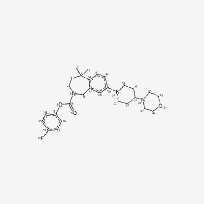 CC1(C)CCN(C(=O)Oc2ccc(F)cc2)Cc2cc(N3CCC(N4CCOCC4)CC3)ccc21